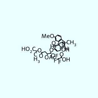 COc1ccc2c3c1O[C@H]1C(OC(=O)C(CC(=O)OC(C)C(=O)O)OC(C)=O)=CC[C@@]4(O)[C@@H](C2)N(C)CC[C@]314.O=C(O)C(F)(F)F